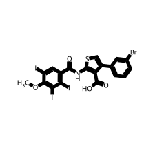 COc1c(I)cc(C(=O)Nc2scc(-c3cccc(Br)c3)c2C(=O)O)c(I)c1I